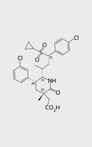 CC(C[C@@H](c1ccc(Cl)cc1)S(=O)(=O)C1CC1)[C@@H]1NC(=O)[C@](C)(CC(=O)O)C[C@@H]1c1cccc(Cl)c1